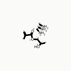 C=C(C)C(=O)OCC(C)O.CN.CN.CN